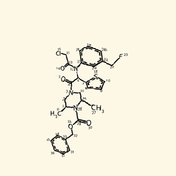 CC1CN(C(=O)C(c2cccs2)N(C(=O)CCl)c2cccc(CF)c2)CC(C)N1C(=O)OCc1ccccc1